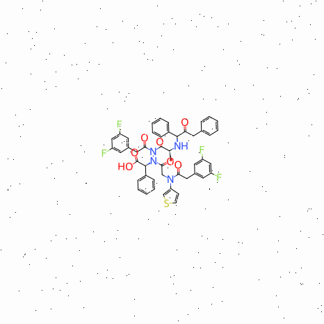 C[C@H](N[C@H](C(=O)Cc1ccccc1)c1ccccc1)C(=O)N(C(=O)Cc1cc(F)cc(F)c1)N(C(=O)CN(C(=O)Cc1cc(F)cc(F)c1)c1ccsc1)[C@H](C(=O)O)c1ccccc1